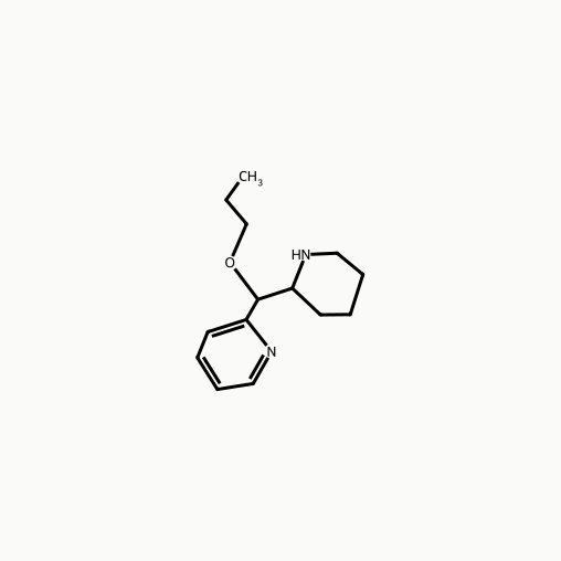 CCCOC(c1ccccn1)C1CCCCN1